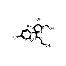 CCOC(=O)[C@@]1(n2ccc(N)nc2=O)O[C@H](CO)[C@@H](O)[C@H]1O